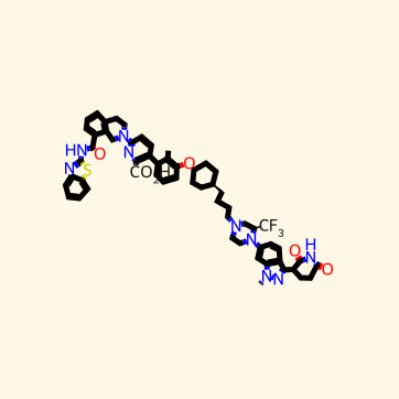 Cc1c(O[C@H]2CC[C@H](CCCCN3CCN(c4ccc5c(C6CCC(=O)NC6=O)nn(C)c5c4)[C@@H](C(F)(F)F)C3)CC2)cccc1-c1ccc(N2CCc3cccc(C(=O)Nc4nc5ccccc5s4)c3C2)nc1C(=O)O